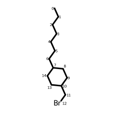 CCCCCCCC1CCC(CBr)CC1